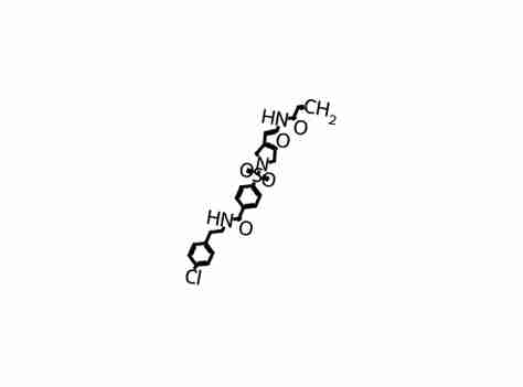 C=CC(=O)Nc1cc2c(o1)CN(S(=O)(=O)c1ccc(C(=O)NCCc3ccc(Cl)cc3)cc1)C2